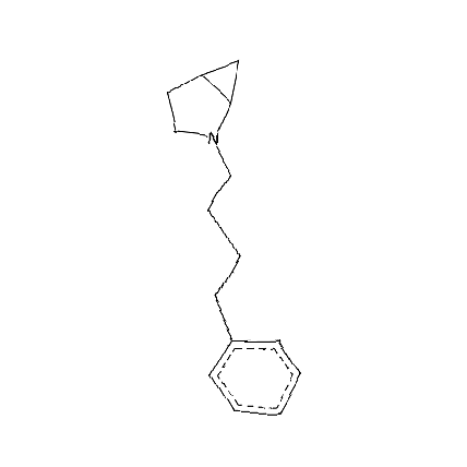 c1ccc(CCCCN2CCC3CC32)cc1